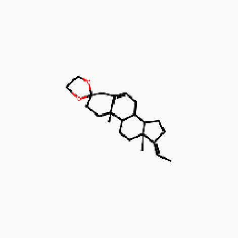 C/C=C1\CCC2C3CC=C4CC5(CC[C@@]4(C)C3CC[C@@]12C)OCCO5